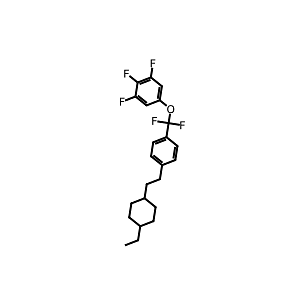 CCC1CCC(CCc2ccc(C(F)(F)Oc3cc(F)c(F)c(F)c3)cc2)CC1